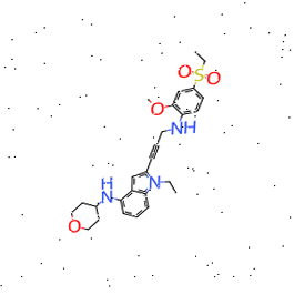 CCn1c(C#CCNc2ccc(S(=O)(=O)CC)cc2OC)cc2c(NC3CCOCC3)cccc21